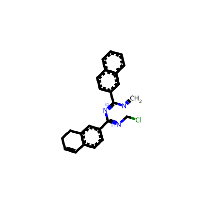 C=N/C(=N\C(=N/CCl)c1ccc2c(c1)CCC=C2)c1ccc2ccccc2c1